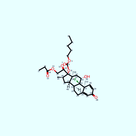 CCCCCOC(=O)O[C@]1(C(=O)COC(=O)CC)[C@H](C)C[C@H]2[C@@H]3CCC4=CC(=O)C=C[C@]4(C)[C@@]3(F)[C@@H](O)C[C@@]21C